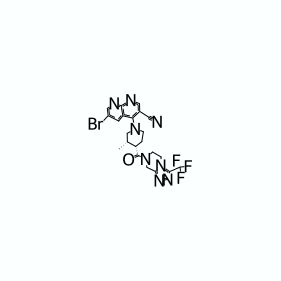 C[C@@H]1CN(c2c(C#N)cnc3ncc(Br)cc23)CC[C@@H]1C(=O)N1CCn2c(nnc2C(F)(F)F)C1